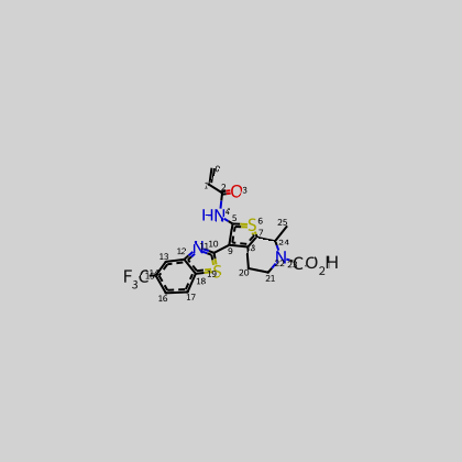 C=CC(=O)Nc1sc2c(c1-c1nc3cc(C(F)(F)F)ccc3s1)CCN(C(=O)O)C2C